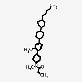 C=CC(=O)N(C)c1ccc(-c2ccc(C3CCC(C4CCC(CCCCC)CC4)CC3)cc2C)cc1